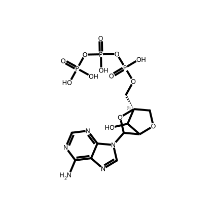 Nc1ncnc2c1ncn2C1O[C@@]2(COP(=O)(O)OP(=O)(O)OP(=O)(O)O)COC1C2O